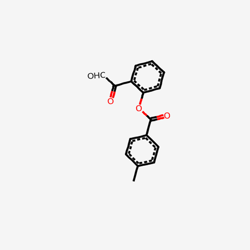 Cc1ccc(C(=O)Oc2ccccc2C(=O)C=O)cc1